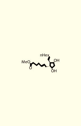 CCCCCC/C=C/[C@@H]1[C@@H](C/C=C/CCCC(=O)OC)[C@@H](O)C[C@H]1O